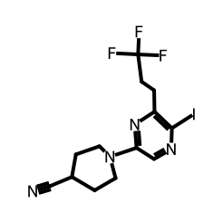 N#CC1CCN(c2cnc(I)c(CCC(F)(F)F)n2)CC1